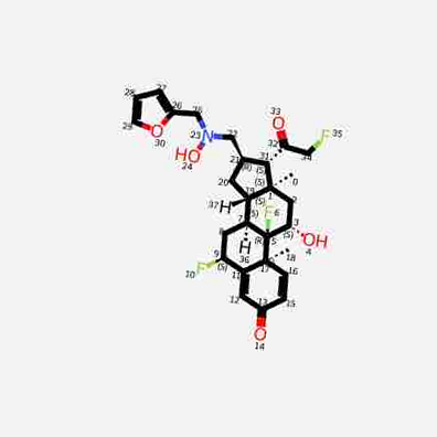 C[C@]12C[C@H](O)[C@@]3(F)[C@@H](C[C@H](F)C4=CC(=O)C=C[C@@]43C)[C@@H]1C[C@@H](CN(O)Cc1ccco1)[C@@H]2C(=O)CF